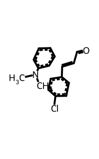 CN(C)c1ccccc1.O=CC=Cc1ccc(Cl)cc1